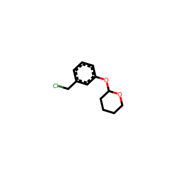 ClCc1cccc(OC2CCCCO2)c1